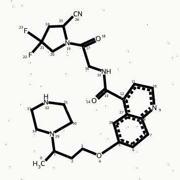 CC(CCOc1ccc2nccc(C(=O)NCC(=O)N3CC(F)(F)CC3C#N)c2c1)N1CCNCC1